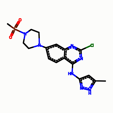 Cc1cc(Nc2nc(Cl)nc3cc(N4CCN(S(C)(=O)=O)CC4)ccc23)n[nH]1